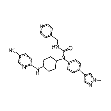 Cn1cc(-c2ccc(N(C(=O)NCc3ccncc3)C3CCC(Nc4ccc(C#N)cn4)CC3)cc2)cn1